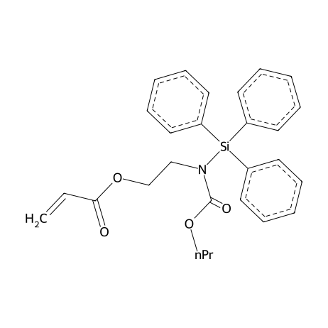 C=CC(=O)OCCN(C(=O)OCCC)[Si](c1ccccc1)(c1ccccc1)c1ccccc1